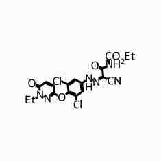 CCOC(=O)NC(=O)C(C#N)=NNc1cc(Cl)c(Oc2ccc(=O)n(CC)n2)c(Cl)c1